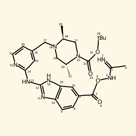 CC(=N)NOC(=O)c1ccc2nc(Nc3cc(CN4C[C@@H](C)N(C(=O)OC(C)(C)C)C[C@@H]4C)ccn3)[nH]c2c1